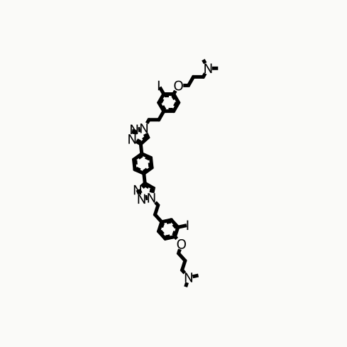 CN(C)CCCOc1ccc(CCn2cc(-c3ccc(-c4cn(CCc5ccc(OCCCN(C)C)c(I)c5)nn4)cc3)nn2)cc1I